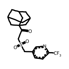 O=C(CS(=O)(=O)Cc1ccc(C(F)(F)F)nc1)C12CC3CC(CC(C3)C1)C2